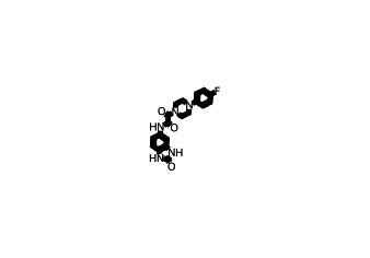 O=C(Nc1ccc2[nH]c(=O)[nH]c2c1)C(=O)N1CCN(c2ccc(F)cc2)CC1